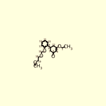 CCOC1=CC(=O)CC(c2ccccc2OCOCCOC)C1